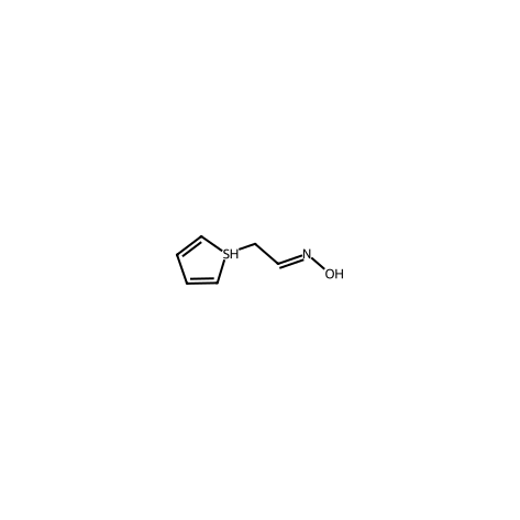 ON=CC[SH]1C=CC=C1